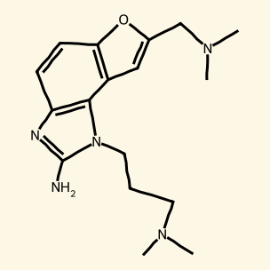 CN(C)CCCn1c(N)nc2ccc3oc(CN(C)C)cc3c21